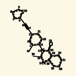 Cc1cc(C#Cc2cccs2)ccc1-n1c(C)nc2ccccc2c1=O